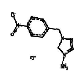 N[N+]1=C=NN(Cc2ccc([N+](=O)[O-])cc2)C1.[Cl-]